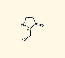 O=C1CCN[C@@H]1CO